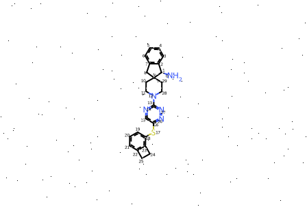 N[C@@H]1c2ccccc2CC12CCN(c1ncc(Sc3cccc4c3CC4)nn1)CC2